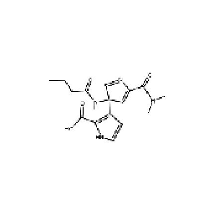 CCCC(=O)NC1(c2cc[nH]c2C(=O)O)C=NC(C(=O)N(C)C)=C1